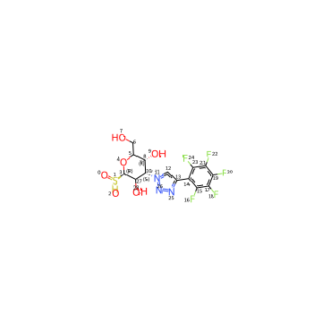 O=[SH](=O)[C@H]1OC(CO)[C@H](O)[C@H](n2cc(-c3c(F)c(F)c(F)c(F)c3F)nn2)C1O